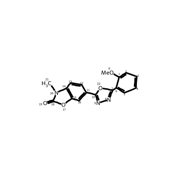 COc1ccccc1-c1nnc(-c2ccc3c(c2)oc(=O)n3C)o1